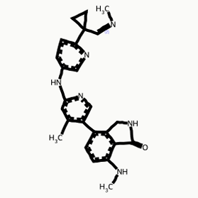 C/N=C\C1(c2ccc(Nc3cc(C)c(-c4ccc(NC)c5c4CNC5=O)cn3)cn2)CC1